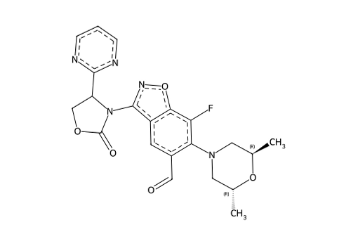 C[C@@H]1CN(c2c(C=O)cc3c(N4C(=O)OCC4c4ncccn4)noc3c2F)C[C@@H](C)O1